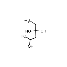 [CH2]CC(O)(O)CC(O)O